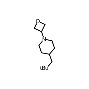 CC(C)(C)CC1CCN(C2COC2)CC1